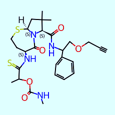 C#CCOCC(NC(=O)[C@H]1N2C(=O)[C@@H](NC(=S)C(C)OC(=O)NC)CCS[C@H]2CC1(C)C)c1ccccc1